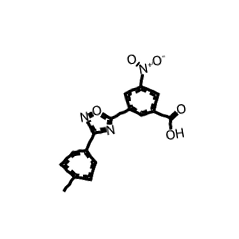 Cc1ccc(-c2noc(-c3cc(C(=O)O)cc([N+](=O)[O-])c3)n2)cc1